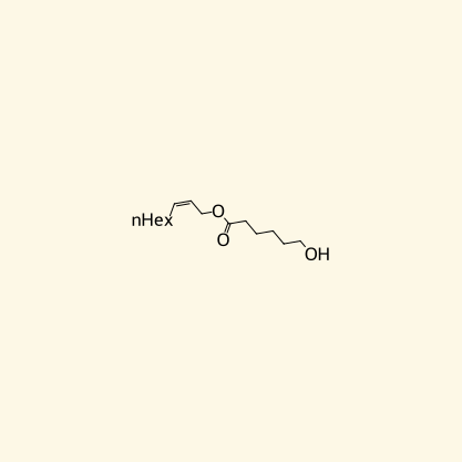 CCCCCC/C=C\COC(=O)CCCCCO